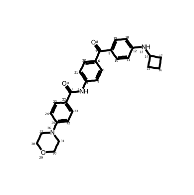 O=C(Nc1ccc(C(=O)c2ccc(NC3CCC3)cc2)cc1)c1ccc(N2CCOCC2)cc1